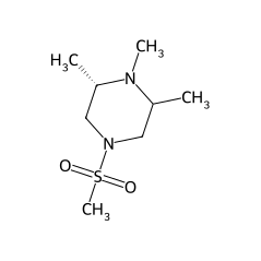 CC1CN(S(C)(=O)=O)C[C@H](C)N1C